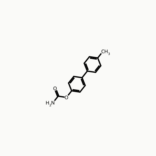 Cc1ccc(-c2ccc(OC(N)=O)cc2)cc1